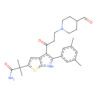 Cc1cc(C)cc(-c2[nH]c3sc(C(C)(C)C(N)=O)cc3c2C(=O)CCN2CCC(C=O)CC2)c1